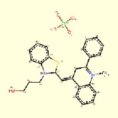 C[N+]1=C(c2ccccc2)CC(=CC2Sc3ccccc3N2CCCO)c2ccccc21.[O-][Cl+3]([O-])([O-])[O-]